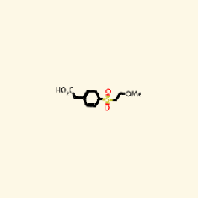 COCCS(=O)(=O)C1C=CC(CC(=O)O)=CC1